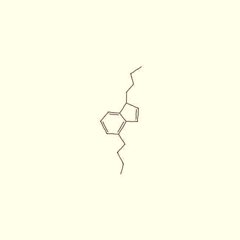 CCCCc1cccc2c1C=CC2CCCC